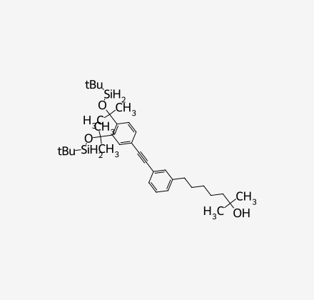 CC(C)(O)CCCCCc1cccc(C#Cc2ccc(C(C)(C)O[SiH2]C(C)(C)C)c(C(C)(C)O[SiH2]C(C)(C)C)c2)c1